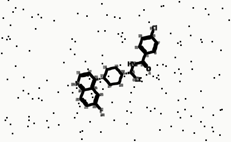 CCC(NC(=O)c1ccc(Cl)cc1)[C@H]1CC[C@@H](c2ccnc3ccc(F)cc32)CC1